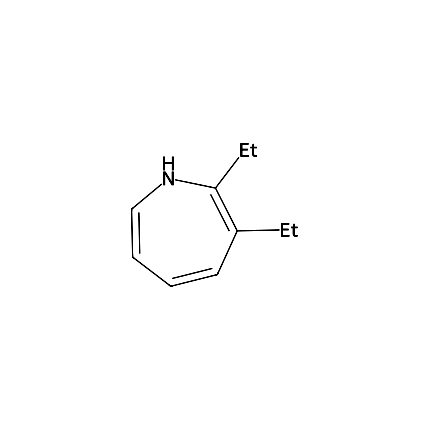 CCC1=C(CC)NC=CC=C1